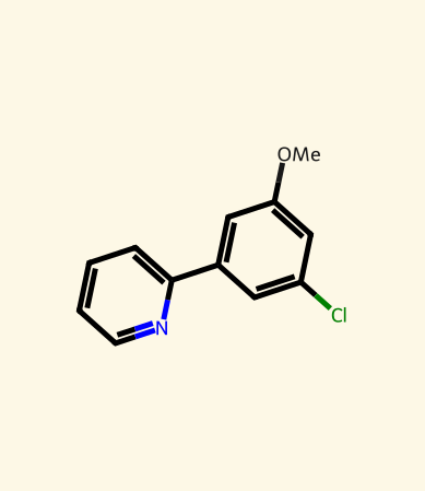 COc1cc(Cl)cc(-c2ccccn2)c1